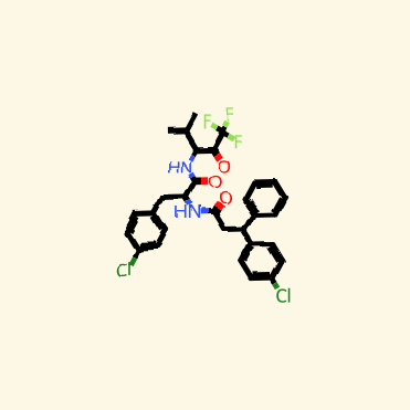 CC(C)C(NC(=O)C(Cc1ccc(Cl)cc1)NC(=O)CC(c1ccccc1)c1ccc(Cl)cc1)C(=O)C(F)(F)F